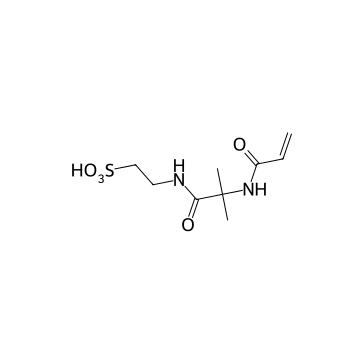 C=CC(=O)NC(C)(C)C(=O)NCCS(=O)(=O)O